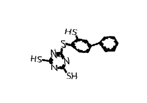 Sc1nc(S)nc(Sc2ccc(-c3ccccc3)cc2S)n1